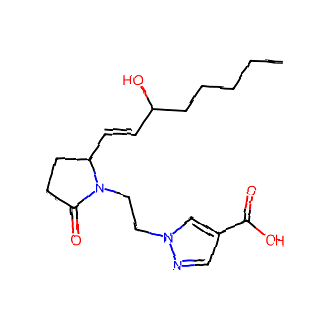 CCCCCC(O)C=CC1CCC(=O)N1CCn1cc(C(=O)O)cn1